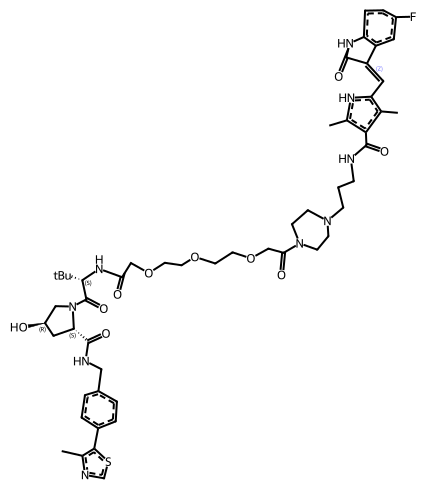 Cc1ncsc1-c1ccc(CNC(=O)[C@@H]2C[C@@H](O)CN2C(=O)[C@@H](NC(=O)COCCOCCOCC(=O)N2CCN(CCCNC(=O)c3c(C)[nH]c(/C=C4\C(=O)Nc5ccc(F)cc54)c3C)CC2)C(C)(C)C)cc1